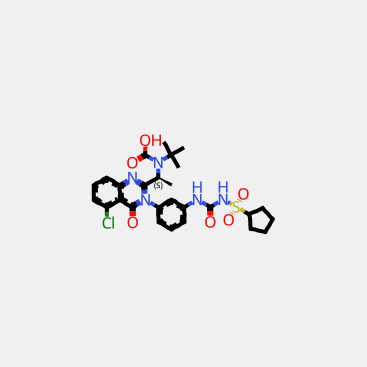 C[C@@H](c1nc2cccc(Cl)c2c(=O)n1-c1cccc(NC(=O)NS(=O)(=O)C2CCCC2)c1)N(C(=O)O)C(C)(C)C